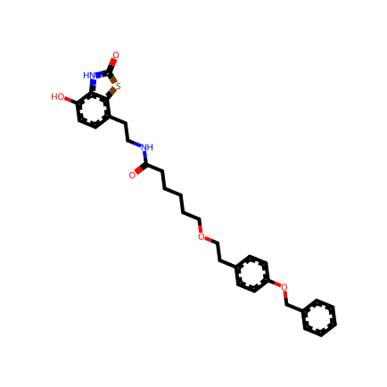 O=C(CCCCCOCCc1ccc(OCc2ccccc2)cc1)NCCc1ccc(O)c2[nH]c(=O)sc12